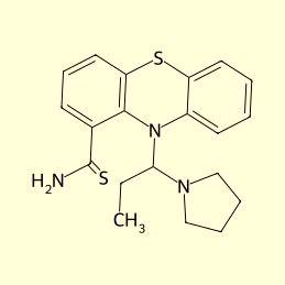 CCC(N1CCCC1)N1c2ccccc2Sc2cccc(C(N)=S)c21